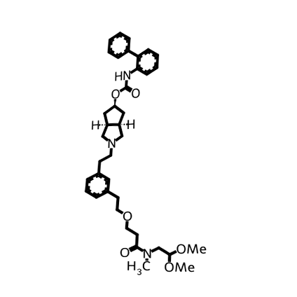 COC(CN(C)C(=O)CCOCCc1cccc(CCN2C[C@H]3C[C@@H](OC(=O)Nc4ccccc4-c4ccccc4)C[C@H]3C2)c1)OC